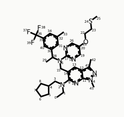 CCN(CC1CCCC1)c1nc2c(cc1CN(c1ncc(OCCSC)cn1)C(C)c1cc(C)cc(C(F)(F)F)c1)c(C)nn2C